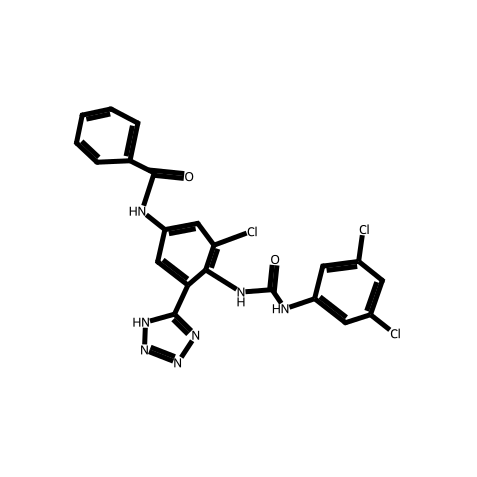 O=C(Nc1cc(Cl)cc(Cl)c1)Nc1c(Cl)cc(NC(=O)c2ccccc2)cc1-c1nnn[nH]1